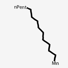 CCCCCCCCCCCCC[CH2][Mn]